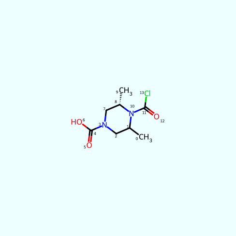 CC1CN(C(=O)O)C[C@H](C)N1C(=O)Cl